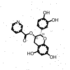 O=C(O[C@@H]1Cc2c(O)cc(O)cc2O[C@H]1c1ccc(O)c(O)c1)c1cccnc1